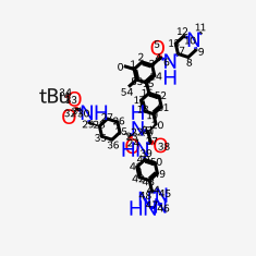 Cc1cc(C(=O)NC2CCN(C)CC2)cc(-c2ccc(C[C@H](NC(=O)[C@H]3CC[C@H](CNC(=O)OC(C)(C)C)CC3)C(=O)Nc3ccc(-c4nn[nH]n4)cc3)cc2)c1C